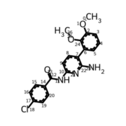 COc1cccc(-c2ccc(NC(=O)c3ccc(Cl)cc3)nc2N)c1OC